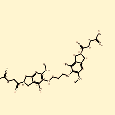 COc1cc2c(c(F)c1OCCCOc1c(OC)cc3c(c1Cl)CN(C(=O)CCC(=O)O)C3)CN(C(=O)CCC(=O)O)C2